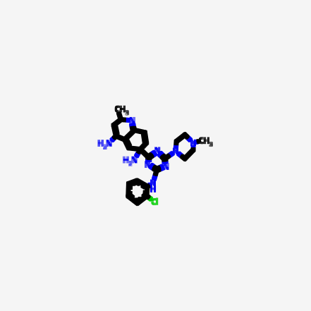 CC1C=C(N)C2=CC(N)(c3nc(Nc4ccccc4Cl)nc(N4CCN(C)CC4)n3)C=CC2=N1